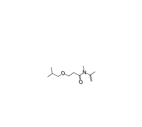 C=C(C)N(C)C(=O)CCOCC(C)C